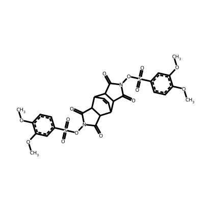 COc1ccc(S(=O)(=O)ON2C(=O)C3C4C=CC(C3C2=O)C2C(=O)N(OS(=O)(=O)c3ccc(OC)c(OC)c3)C(=O)C42)cc1OC